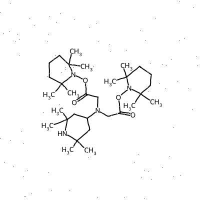 CC1(C)CC(N(CC(=O)ON2C(C)(C)CCCC2(C)C)CC(=O)ON2C(C)(C)CCCC2(C)C)CC(C)(C)N1